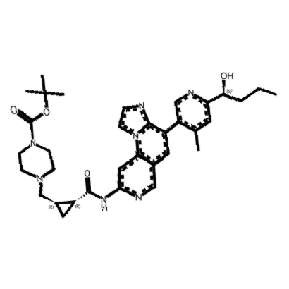 CCC[C@H](O)c1cc(C)c(-c2cc3cnc(NC(=O)[C@@H]4C[C@H]4CN4CCN(C(=O)OC(C)(C)C)CC4)cc3n3ccnc23)cn1